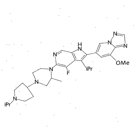 COc1cc(-c2[nH]c3cnc(N4CCN(C5CCN(C(C)C)CC5)CC4C)c(F)c3c2C(C)C)cn2ncnc12